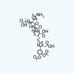 CC(=O)Oc1ccc(-c2nc(SCC3=C(C(=O)O)N4C(=O)[C@@H](NC(=O)C(=NOC(C)(C)C(=O)O)c5csc(N)n5)[C@@H]4SC3)sc2CC(=O)O)cc1OC(C)=O